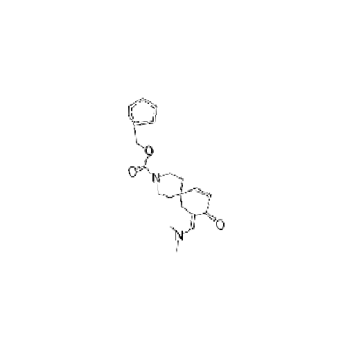 CN(C)C=C1CC2(C=CC1=O)CCN(C(=O)OCc1ccccc1)CC2